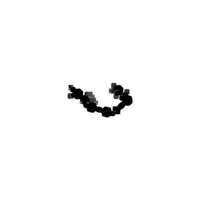 Cc1c(-c2ccc(C#N)c(Cl)c2)nn(Cc2ccc(C#CC3CCC(CN4CC(C#Cc5cccc6c5CN(C5CCC(=O)NC5=O)C6=O)C4)CC3)cc2)c1C